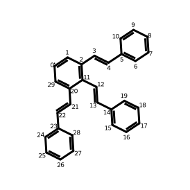 [c]1cc(C=Cc2ccccc2)c(C=Cc2ccccc2)c(C=Cc2ccccc2)c1